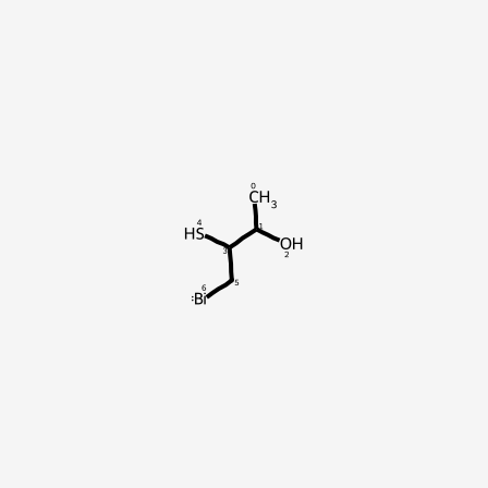 CC(O)C(S)[CH2][Bi]